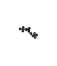 C1=CC2=C(CC1)c1ccc(-c3ccc(-c4ccc5c(c4)c4ccccc4n5-c4ccc(-c5c6ccccc6c(-c6ccccc6)c6ccccc56)cc4)cc3)cc1C2(c1ccccc1)c1ccccc1